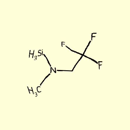 CN([SiH3])CC(F)(F)F